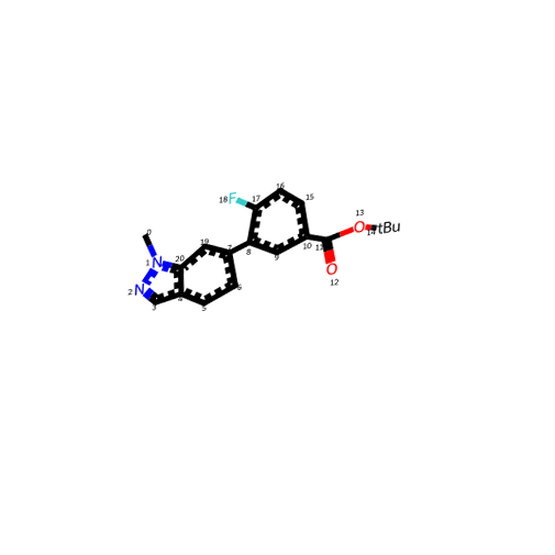 Cn1ncc2ccc(-c3cc(C(=O)OC(C)(C)C)ccc3F)cc21